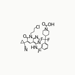 C[C@@H](Nc1ncnc2c1cc(C1(C#N)CC1)c(=O)n2CCCCl)c1cccc(C(F)(F)C2CCN(C(=O)O)CC2)c1